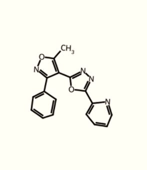 Cc1onc(-c2ccccc2)c1-c1nnc(-c2ccccn2)o1